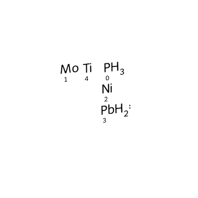 P.[Mo].[Ni].[PbH2].[Ti]